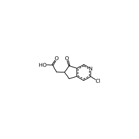 O=C(O)CC1Cc2cc(Cl)ncc2C1=O